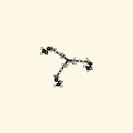 CN1Cc2c(Cl)cc(Cl)cc2C(c2cccc(S(=O)(=O)NCCOCCOCCNC(=O)NCCCC(N)(CCCNC(=O)NCCOCCOCCNS(=O)(=O)c3cccc([C@@H]4CN(C)Cc5c(Cl)cc(Cl)cc54)c3)CCCNC(=O)NCCOCCOCCNS(=O)(=O)c3cccc([C@@H]4CN(C)Cc5c(Cl)cc(Cl)cc54)c3)c2)C1